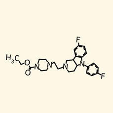 CCOC(=O)N1CCN(CCN2CCC3C(C2)c2cc(F)ccc2N3c2ccc(F)cc2)CC1